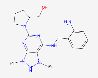 CC(C)N1NN(C(C)C)c2c(NCc3ccccc3N)nc(N3CCC[C@@H]3CO)nc21